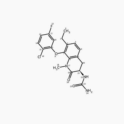 CCc1ccc2c(c1Oc1cc(F)ccc1Cl)N(C)C(=O)[C@H](NC(N)=O)C2